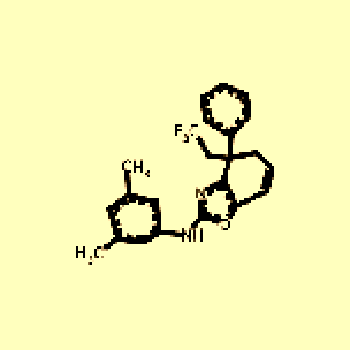 Cc1cc(C)cc(Nc2nc3c(o2)C=CCC3(CC(F)(F)F)c2ccccc2)c1